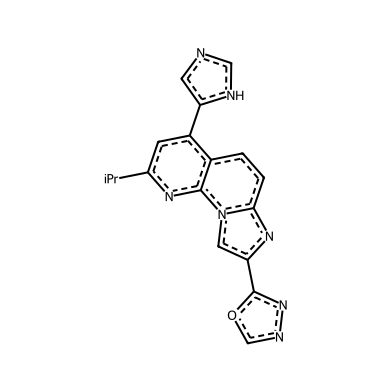 CC(C)c1cc(-c2cnc[nH]2)c2ccc3nc(-c4nnco4)cn3c2n1